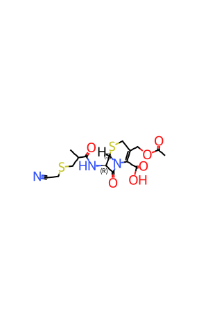 CC(=O)OCC1=C(C(=O)O)N2C(=O)[C@@H](NC(=O)C(C)CSCC#N)[C@@H]2SC1